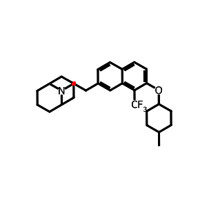 CC1CCC(Oc2ccc3ccc(CCN4C5CCCC4CCC5)cc3c2C(F)(F)F)CC1